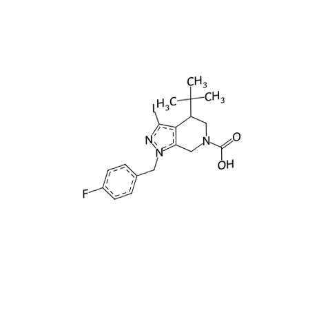 CC(C)(C)C1CN(C(=O)O)Cc2c1c(I)nn2Cc1ccc(F)cc1